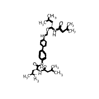 CC(C)CC(=O)N[C@@H](CC(C)C)OCNc1ccc(-c2ccc(NC(=O)[C@H](CC(C)C)NC(=O)CC(C)C)cc2)cc1